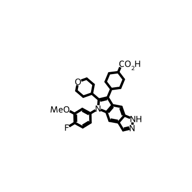 COc1cc(-n2c(C3CCOCC3)c(C3CCC(C(=O)O)CC3)c3cc4[nH]ncc4cc32)ccc1F